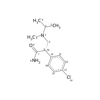 CC(C)N(C)C[C@@H](C(N)=O)c1ccc(Cl)cc1